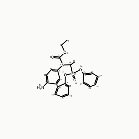 CCOC(=O)N(c1ccc(N)cc1)C(C)P(=O)(Oc1ccccc1)Oc1ccccc1